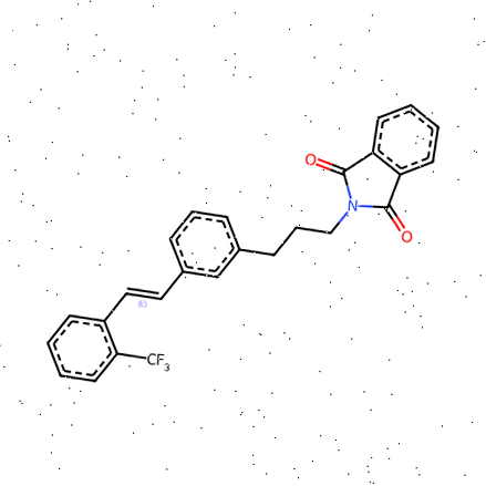 O=C1c2ccccc2C(=O)N1CCCc1cccc(/C=C/c2ccccc2C(F)(F)F)c1